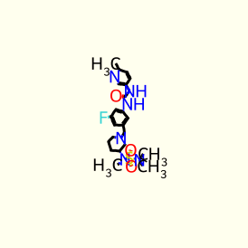 Cc1ccc(NC(=O)Nc2cc(F)cc(CN3CCC[C@H](N(C)S(=O)(=O)N(C)C)C3)c2)cn1